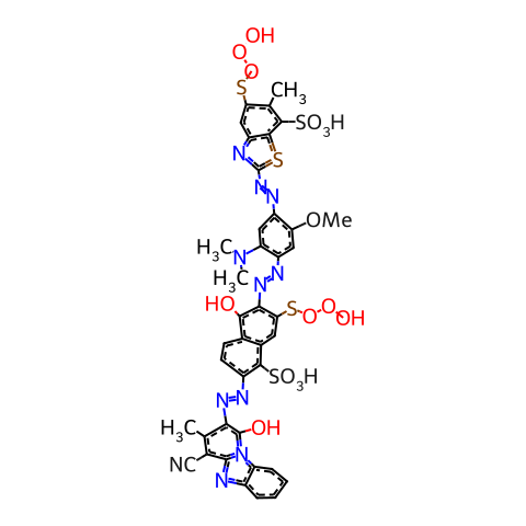 COc1cc(N=Nc2c(SOOO)cc3c(S(=O)(=O)O)c(N=Nc4c(C)c(C#N)c5nc6ccccc6n5c4O)ccc3c2O)c(N(C)C)cc1N=Nc1nc2cc(SOOO)c(C)c(S(=O)(=O)O)c2s1